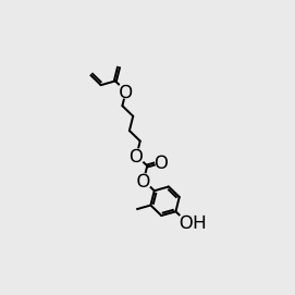 C=CC(=C)OCCCCOC(=O)Oc1ccc(O)cc1C